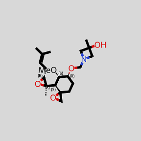 CO[C@@H]1[C@H](OCN2CC(C)(O)C2)CCC2(CO2)[C@H]1[C@@]1(C)O[C@@H]1CC=C(C)C